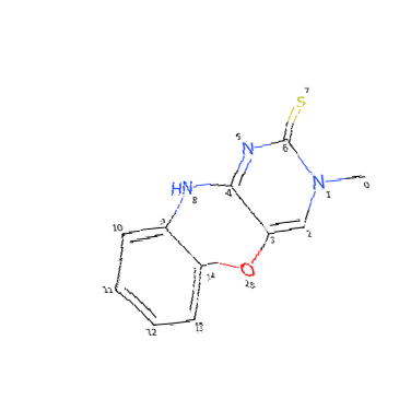 Cn1cc2c(nc1=S)Nc1ccccc1O2